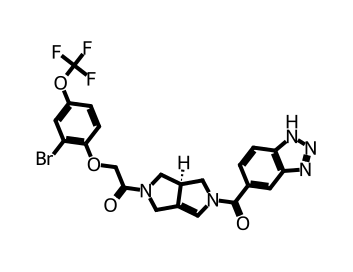 O=C(c1ccc2[nH]nnc2c1)N1C=C2CN(C(=O)COc3ccc(OC(F)(F)F)cc3Br)C[C@H]2C1